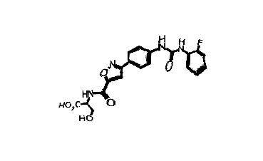 O=C(Nc1ccc(-c2cc(C(=O)NC(CO)C(=O)O)on2)cc1)Nc1ccccc1F